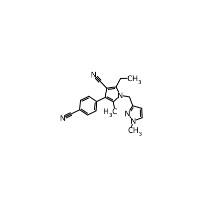 CCc1c(C#N)c(-c2ccc(C#N)cc2)c(C)n1Cc1ccn(C)n1